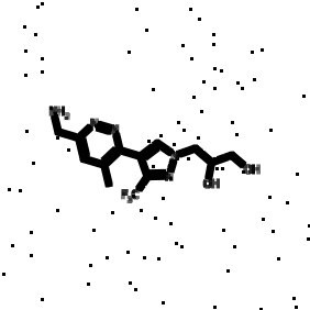 Cc1cc(CN)nnc1-c1cn(CC(O)CO)nc1C(F)(F)F